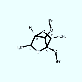 B[C@@H]1O[C@]2(OC(C)C)C(OC(C)C)[C@@H]1O[C@@H]2C